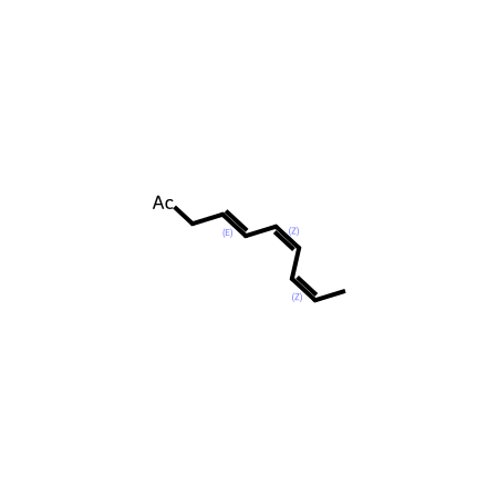 C\C=C/C=C\C=C\CC(C)=O